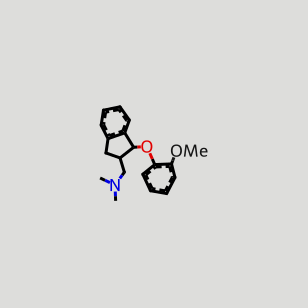 COc1ccccc1OC1c2ccccc2CC1CN(C)C